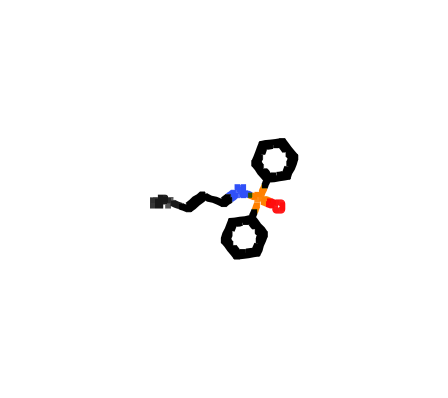 CCCC=CC=NP(=O)(c1ccccc1)c1ccccc1